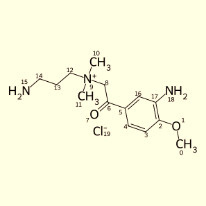 COc1ccc(C(=O)C[N+](C)(C)CCCN)cc1N.[Cl-]